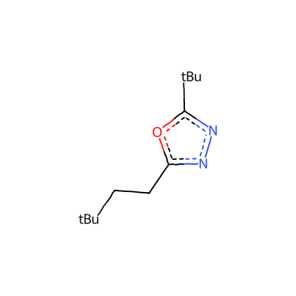 CC(C)(C)CCc1nnc(C(C)(C)C)o1